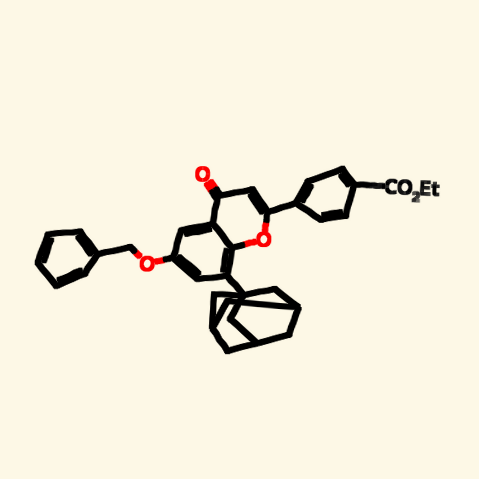 CCOC(=O)c1ccc(-c2cc(=O)c3cc(OCc4ccccc4)cc(C45CC6CC(CC(C6)C4)C5)c3o2)cc1